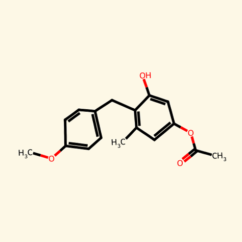 COc1ccc(Cc2c(C)cc(OC(C)=O)cc2O)cc1